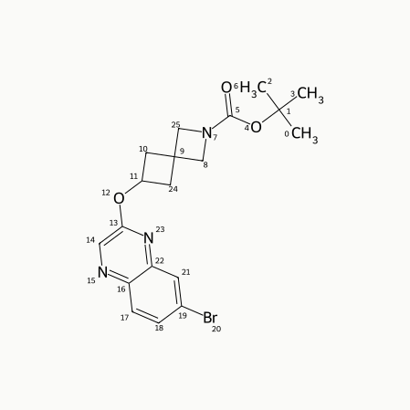 CC(C)(C)OC(=O)N1CC2(CC(Oc3cnc4ccc(Br)cc4n3)C2)C1